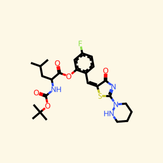 CC(C)CC(NC(=O)OC(C)(C)C)C(=O)Oc1cc(F)ccc1C=C1SC(N2CCCCN2)=NC1=O